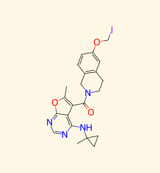 Cc1oc2ncnc(NC3(C)CC3)c2c1C(=O)N1CCc2cc(OCI)ccc2C1